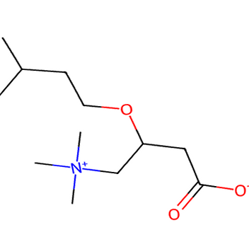 CC(C)CCOC(CC(=O)[O-])C[N+](C)(C)C